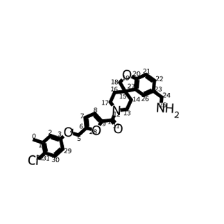 Cc1cc(OCc2ccc(C(=O)N3CCC4(CC3)COc3ccc(CN)cc34)o2)ccc1Cl